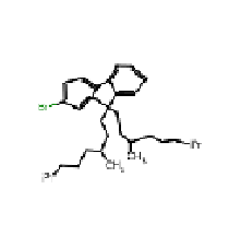 CC(C)CCCC(C)CCC1(CCC(C)CCCC(C)C)c2ccccc2-c2ccc(Br)cc21